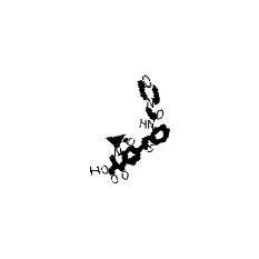 COc1c(-c2cc3c(s2)CCCC3NC(=O)CN2CCOCC2)ccc2c(=O)c(C(=O)O)cn(C3CC3)c12